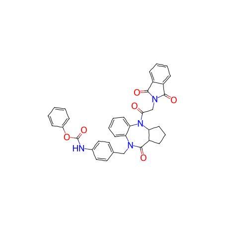 O=C(Nc1ccc(CN2C(=O)C3CCCC3N(C(=O)CN3C(=O)c4ccccc4C3=O)c3ccccc32)cc1)Oc1ccccc1